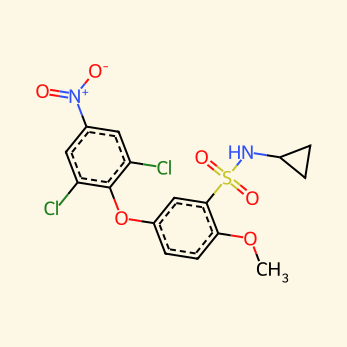 COc1ccc(Oc2c(Cl)cc([N+](=O)[O-])cc2Cl)cc1S(=O)(=O)NC1CC1